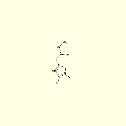 Cc1cn(CC(=O)NN)[nH]c1=O